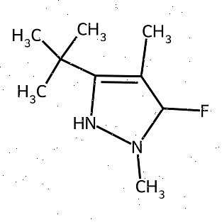 CC1=C(C(C)(C)C)NN(C)C1F